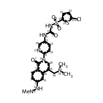 CNNc1ccc2c(=O)n(-c3ccc(NC(=O)NS(=O)(=O)c4ccc(Cl)s4)cn3)cc(CN(C)C)c2c1